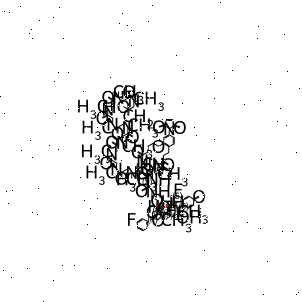 C=C(O)CN(C)C(=O)CN(C)C(=O)CN(C)C(=O)CN(C)C(=O)CN(C)C(=O)CN(C)C(=O)CN(C)C(=O)CN(C)C(=O)CN(C)C(=O)CN(C)C(=O)CCCOc1cc(N2C(=O)C=CC2=O)ccc1CCC(=O)N[C@@H](C)C(=O)N[C@@H](C)C(=O)NCOCC(=O)[C@@]12O[C@H](c3cccc(F)c3)O[C@@H]1C[C@H]1[C@@H]3C[C@H](F)C4=CC(=O)C=C[C@]4(C)[C@@]3(F)[C@@H](O)C[C@@]12C